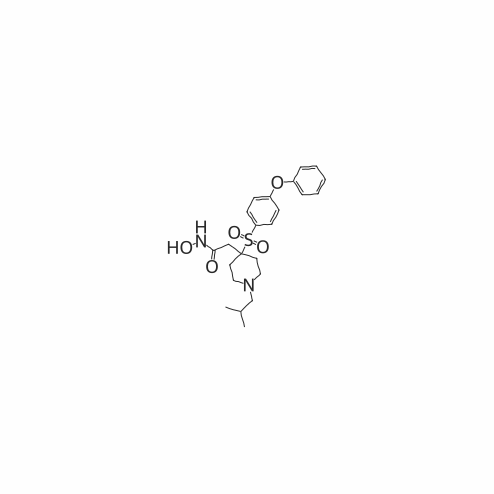 CC(C)CN1CCC(CC(=O)NO)(S(=O)(=O)c2ccc(Oc3ccccc3)cc2)CC1